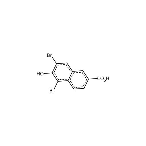 O=C(O)c1ccc2c(Br)c(O)c(Br)cc2c1